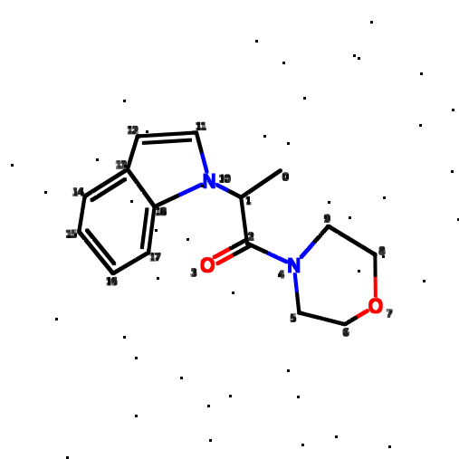 CC(C(=O)N1CCOCC1)n1ccc2ccccc21